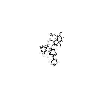 O=[N+]([O-])c1c(Cl)ccc2[nH]c3c(c12)CCN(c1nccc(C(F)(F)F)n1)C3c1cnc(N2CCOCC2)nc1